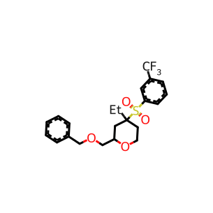 CCC1(S(=O)(=O)c2cccc(C(F)(F)F)c2)CCOC(COCc2ccccc2)C1